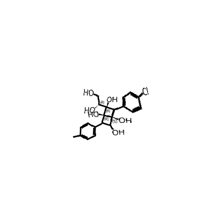 Cc1ccc(C2C(O)[C@@]3(O)C(c4ccc(Cl)cc4)[C@@](O)([C@H](O)CO)[C@@]23O)cc1